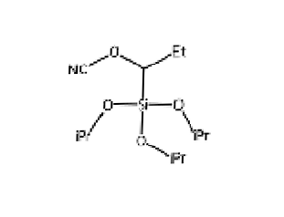 CCC(OC#N)[Si](OC(C)C)(OC(C)C)OC(C)C